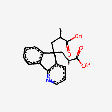 CC(CC1(CC(C)C(=O)O)c2ccccc2-c2ncccc21)C(=O)O